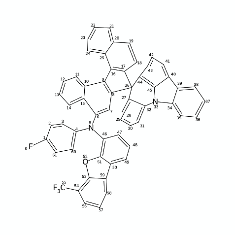 Fc1ccc(N(c2cc3c(c4ccccc24)-c2c(ccc4ccccc24)C32c3ccccc3-n3c4ccccc4c4cccc2c43)c2cccc3c2oc2c(C(F)(F)F)cccc23)cc1